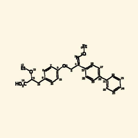 CCON=C(COc1ccc(CC(OCC)C(=O)O)cc1)c1ccc(-c2ccccc2)cc1